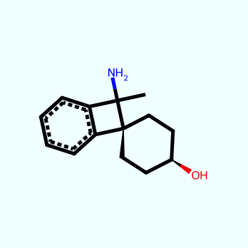 CC1(N)c2ccccc2[C@]12CC[C@H](O)CC2